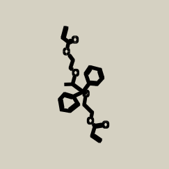 C=CC(=O)OCCOC(C)C(OCCOC(=O)C=C)(c1ccccc1)c1ccccc1